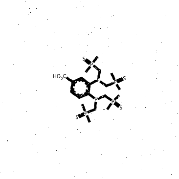 CP(C)(=S)CP(CP(C)(C)=S)c1ccc(C(=O)O)cc1P(CP(C)(C)=S)CP(C)(C)=S